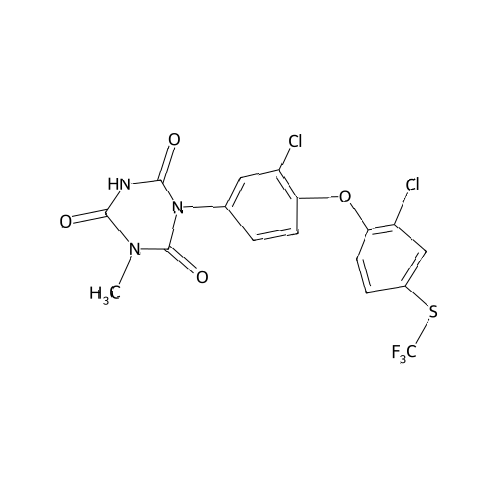 Cn1c(=O)[nH]c(=O)n(-c2ccc(Oc3ccc(SC(F)(F)F)cc3Cl)c(Cl)c2)c1=O